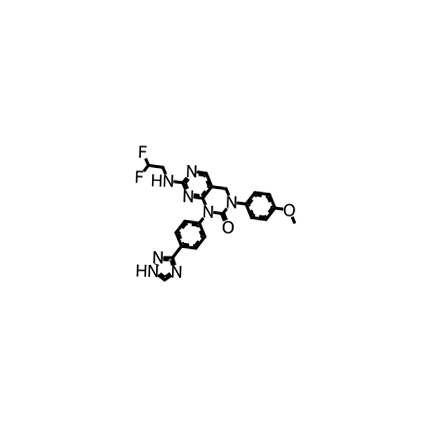 COc1ccc(N2Cc3cnc(NCC(F)F)nc3N(c3ccc(-c4nc[nH]n4)cc3)C2=O)cc1